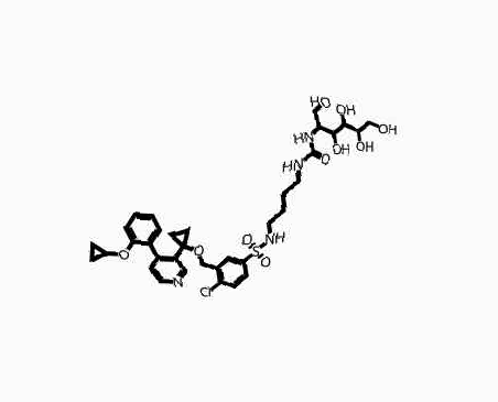 O=C(NCCCCNS(=O)(=O)c1ccc(Cl)c(COC2(c3cnccc3-c3ccccc3OC3CC3)CC2)c1)NC(CO)C(O)C(O)C(O)CO